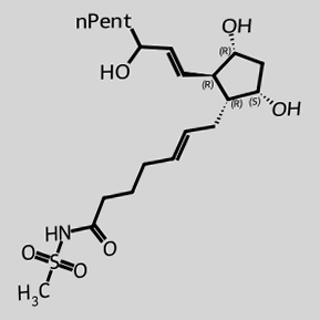 CCCCCC(O)C=C[C@@H]1[C@@H](CC=CCCCC(=O)NS(C)(=O)=O)[C@@H](O)C[C@H]1O